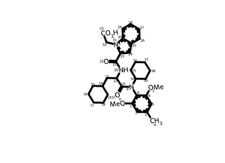 COc1cc(C)cc(OC)c1N(C(=O)C(CC1CCCCC1)NC(=O)c1cc2ccccc2n1CC(=O)O)C1CCCCC1